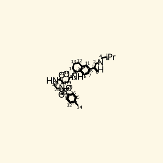 C=C(CNCC(C)C)c1ccc2c(c1)CCC[C@H]2NC(=O)C[C@@H]1C(=O)NCCN1S(=O)(=O)c1ccc(C)cc1